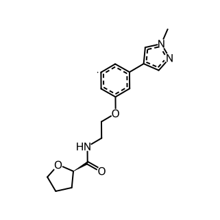 Cn1cc(-c2c[c]cc(OCCNC(=O)[C@H]3CCCO3)c2)cn1